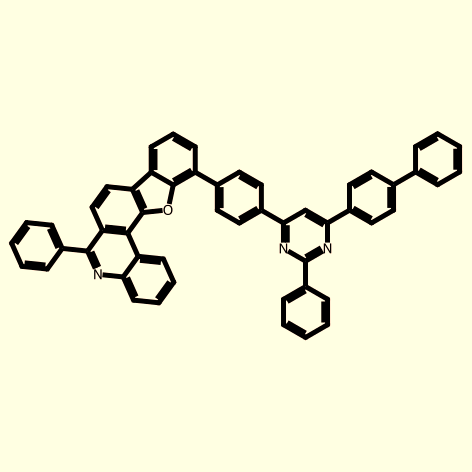 c1ccc(-c2ccc(-c3cc(-c4ccc(-c5cccc6c5oc5c6ccc6c(-c7ccccc7)nc7ccccc7c65)cc4)nc(-c4ccccc4)n3)cc2)cc1